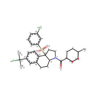 CC(=O)C12CCC(C(=O)N3CCC4(S(=O)(=O)c5cccc(Cl)c5)c5ccc(C(F)(C(F)(F)F)C(F)(F)F)cc5CCC34)(CC1)CC2